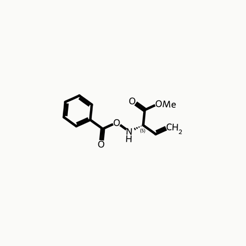 C=C[C@H](NOC(=O)c1ccccc1)C(=O)OC